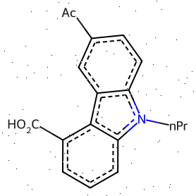 CCCn1c2ccc(C(C)=O)cc2c2c(C(=O)O)cccc21